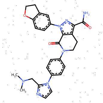 CN(C)Cc1nccn1-c1ccc(N2CCc3c(C(N)=O)nn(-c4ccc5c(c4)CCO5)c3C2=O)cc1